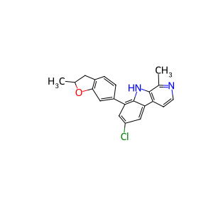 Cc1nccc2c1[nH]c1c(-c3ccc4c(c3)OC(C)C4)cc(Cl)cc12